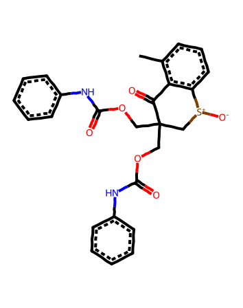 Cc1cccc2c1C(=O)C(COC(=O)Nc1ccccc1)(COC(=O)Nc1ccccc1)C[S+]2[O-]